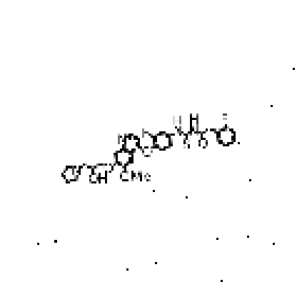 COc1cc2c(Oc3ccc(NC(=S)NC(=O)Cc4ccccc4F)cc3F)ccnc2cc1OCC(O)CN1CCCC1